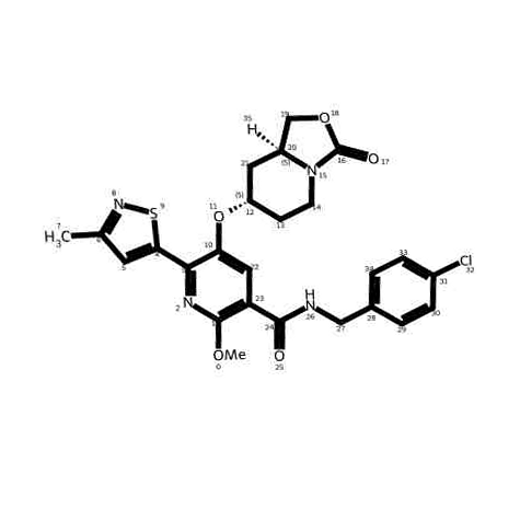 COc1nc(-c2cc(C)ns2)c(O[C@H]2CCN3C(=O)OC[C@@H]3C2)cc1C(=O)NCc1ccc(Cl)cc1